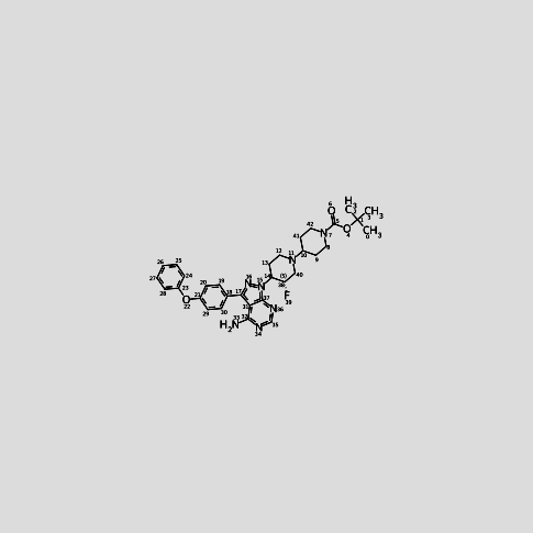 CC(C)(C)OC(=O)N1CCC(N2CCC(n3nc(-c4ccc(Oc5ccccc5)cc4)c4c(N)ncnc43)[C@@H](F)C2)CC1